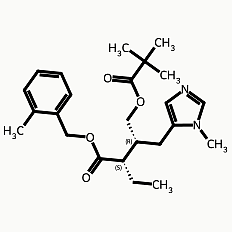 CC[C@H](C(=O)OCc1ccccc1C)[C@H](COC(=O)C(C)(C)C)Cc1cncn1C